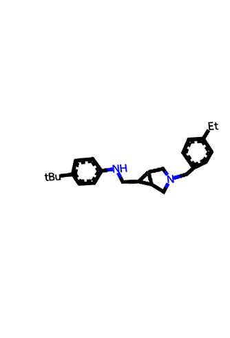 CCc1ccc(CN2CC3C(CNc4ccc(C(C)(C)C)cc4)C3C2)cc1